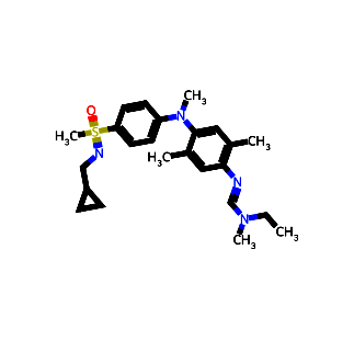 CCN(C)C=Nc1cc(C)c(N(C)c2ccc(S(C)(=O)=NCC3CC3)cc2)cc1C